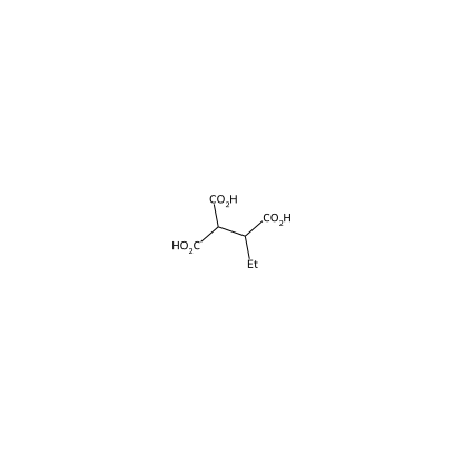 CCC(C(=O)O)C(C(=O)O)C(=O)O